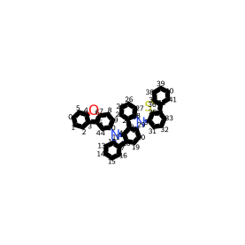 c1ccc2c(c1)oc1ccc(-n3c4ccccc4c4ccc5c(c6ccccc6n5-c5cccc6c5sc5ccccc56)c43)cc12